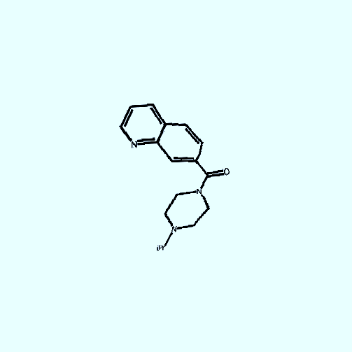 CC(C)N1CCN(C(=O)c2ccc3cccnc3c2)CC1